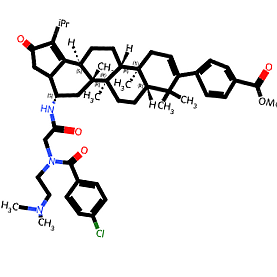 COC(=O)c1ccc(C2=CC[C@]3(C)[C@H]4CC[C@@H]5C6=C(C(C)C)C(=O)CC6[C@@H](NC(=O)CN(CCN(C)C)C(=O)c6ccc(Cl)cc6)C[C@@]5(C)[C@]4(C)CC[C@H]3C2(C)C)cc1